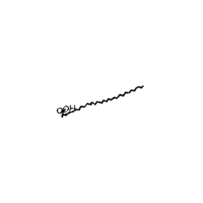 C=C(CCCCCCCCCCCCCCCCCCCCCCCCCCCC)C(=O)O